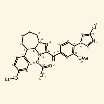 CCOc1ccc(C2CCCCN3N=C(Nc4ccc(-n5cnc(Cl)c5)c(OC)c4)N(OC(=O)C(F)(F)F)C23)cc1